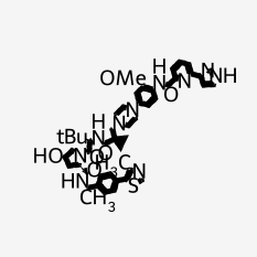 COc1cc(N2CCN(CC3(C(=O)N[C@H](C(=O)N4C[C@H](O)C[C@H]4C(=O)N[C@@H](C)c4ccc(-c5scnc5C)cc4)C(C)(C)C)CC3)CC2)ccc1NC(=O)c1cccc(-c2cc[nH]n2)n1